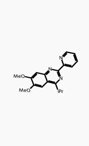 COc1cc2nc(-c3ccccn3)nc(C(C)C)c2cc1OC